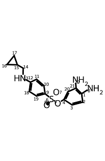 Nc1ccc(OS(=O)(=O)c2ccc(NCC3CC3)cc2)cc1N